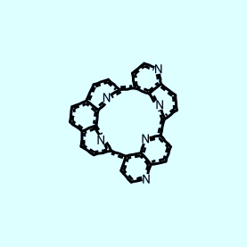 c1cc2c3ccc4ccc5ccc(nc5c4n3)c3ccnc4ccc(nc43)c3ccc(n1)c2n3